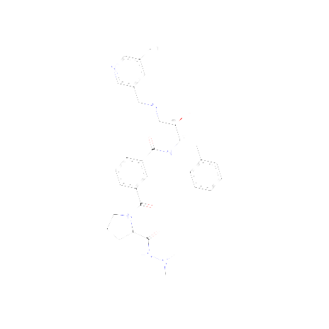 CC(C)c1cncc(CNC[C@@H](O)[C@H](Cc2ccccc2)NC(=O)c2cccc(C(=O)N3CCCC3C(=O)NN(C)C)c2)c1